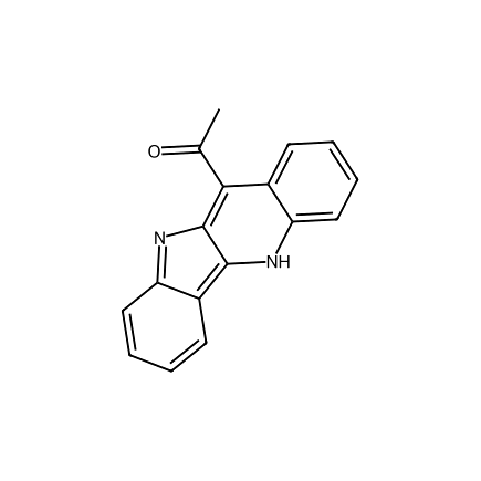 CC(=O)c1c2nc3ccccc3c-2[nH]c2ccccc12